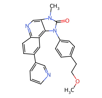 COCCc1ccc(-n2c(=O)n(C)c3cnc4ccc(-c5cccnc5)cc4c32)cc1